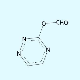 O=[C]Oc1nccnn1